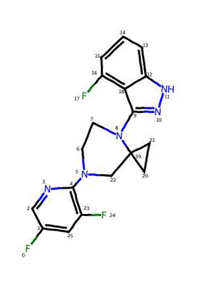 Fc1cnc(N2CCN(c3n[nH]c4cccc(F)c34)C3(CC3)C2)c(F)c1